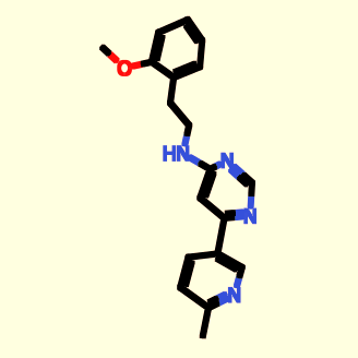 COc1ccccc1CCNc1cc(-c2ccc(C)nc2)ncn1